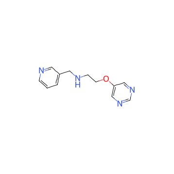 c1cncc(CNCCOc2cncnc2)c1